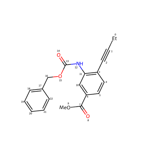 CCC#Cc1ccc(C(=O)OC)cc1NC(=O)OCc1ccccc1